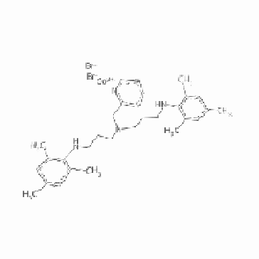 Cc1cc(C)c(NCCCN(CCCNc2c(C)cc(C)cc2C)Cc2ccccn2)c(C)c1.[Br-].[Br-].[Co+2]